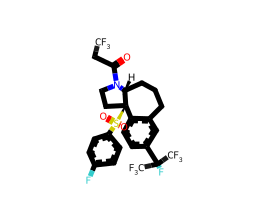 O=C(CC(F)(F)F)N1CC[C@@]2(S(=O)(=O)c3ccc(F)cc3)c3ccc(C(F)(C(F)(F)F)C(F)(F)F)cc3CCC[C@@H]12